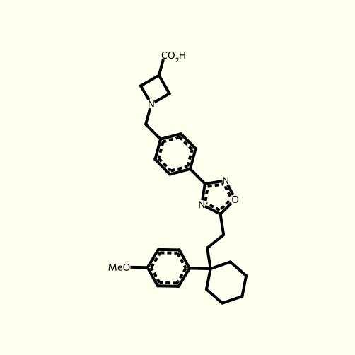 COc1ccc(C2(CCc3nc(-c4ccc(CN5CC(C(=O)O)C5)cc4)no3)CCCCC2)cc1